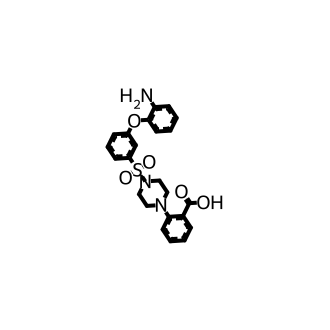 Nc1ccccc1Oc1cccc(S(=O)(=O)N2CCN(c3ccccc3C(=O)O)CC2)c1